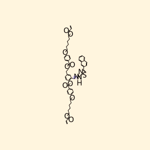 C=CC(=O)OCCCCCCOc1ccc(C(=O)OCCc2ccc(OC(=O)c3ccc(OCCCCCCOC(=O)C=C)cc3)c(/C=N/Nc3nc(-c4ccc5ccccc5c4)cs3)c2)cc1